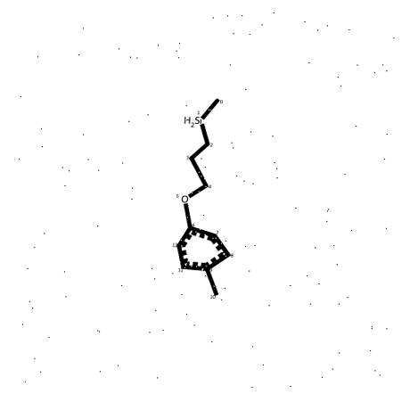 C[SiH2]CCCOc1ccc(C)cc1